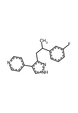 CC(Cc1n[nH]cc1-c1ccncc1)c1cccc(F)c1